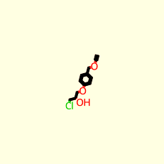 C#COCc1ccc(OCC(O)CCl)cc1